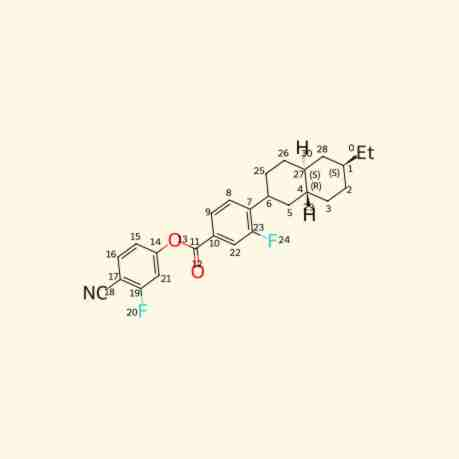 CC[C@H]1CC[C@@H]2CC(c3ccc(C(=O)Oc4ccc(C#N)c(F)c4)cc3F)CC[C@H]2C1